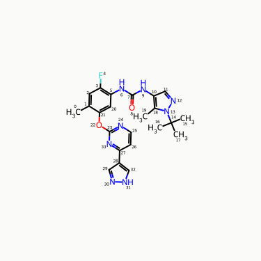 Cc1cc(F)c(NC(=O)Nc2cnn(C(C)(C)C)c2C)cc1Oc1nccc(-c2cn[nH]c2)n1